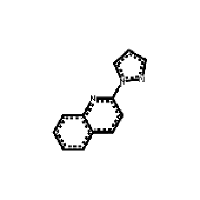 c1ccc2nc(-n3cccn3)ccc2c1